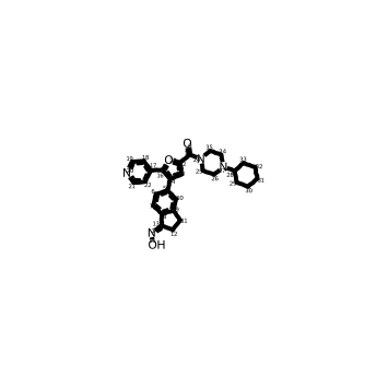 O=C(c1cc(-c2ccc3c(c2)CC/C3=N\O)c(-c2ccncc2)o1)N1CCN(C2CCCCC2)CC1